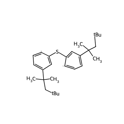 CC(C)(C)CC(C)(C)c1cc[c]c(Sc2[c]ccc(C(C)(C)CC(C)(C)C)c2)c1